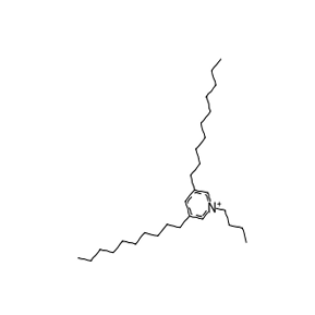 CCCCCCCCCCc1cc(CCCCCCCCCC)c[n+](CCCC)c1